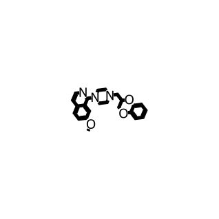 COc1ccc2ccnc(N3CCN(CC4COc5ccccc5O4)CC3)c2c1